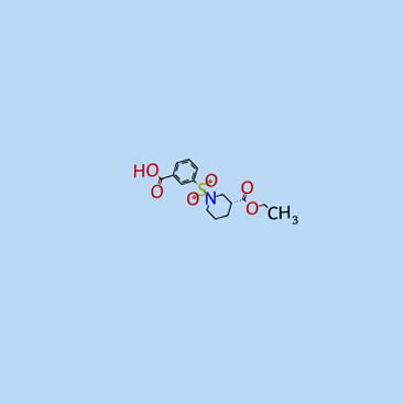 CCOC(=O)[C@@H]1CCCN(S(=O)(=O)c2cccc(C(=O)O)c2)C1